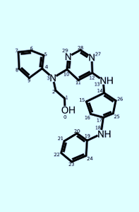 OCCN(c1ccccc1)c1cc(Nc2ccc(Nc3ccccc3)cc2)ncn1